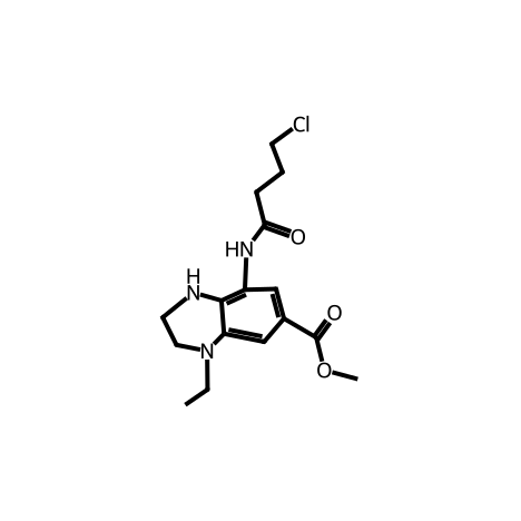 CCN1CCNc2c(NC(=O)CCCCl)cc(C(=O)OC)cc21